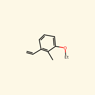 C=Cc1cccc(OCC)c1C